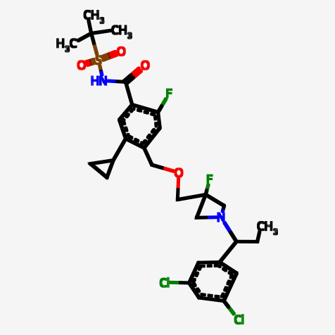 CCC(c1cc(Cl)cc(Cl)c1)N1CC(F)(COCc2cc(F)c(C(=O)NS(=O)(=O)C(C)(C)C)cc2C2CC2)C1